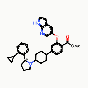 COC(=O)c1ccc(C2CCC(N3CCC[C@H]3c3ccccc3C3CC3)CC2)cc1Oc1cnc2[nH]ccc2c1